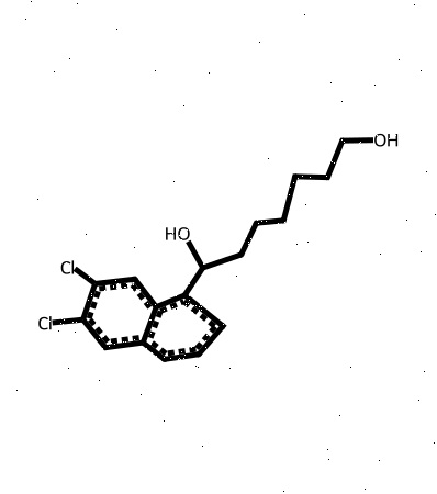 OCCCCCCC(O)c1cccc2cc(Cl)c(Cl)cc12